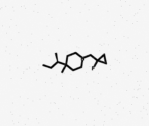 CC[C@@H](C)C1(C)CCN(CC2(F)CC2)CC1